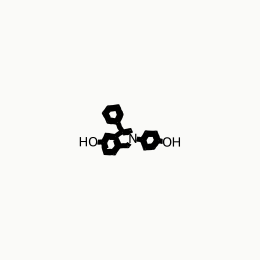 Oc1ccc(N2C=C(c3ccccc3)c3cc(O)ccc3C2)cc1